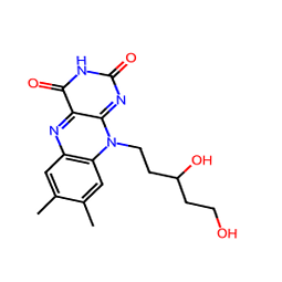 Cc1cc2nc3c(=O)[nH]c(=O)nc-3n(CCC(O)CCO)c2cc1C